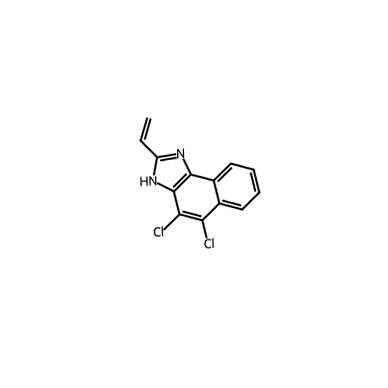 C=Cc1nc2c([nH]1)c(Cl)c(Cl)c1ccccc12